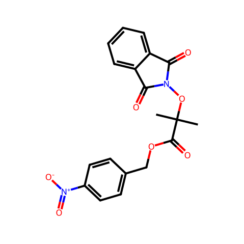 CC(C)(ON1C(=O)c2ccccc2C1=O)C(=O)OCc1ccc([N+](=O)[O-])cc1